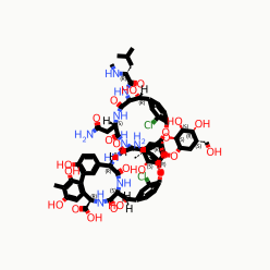 CN[C@H](CC(C)C)C(=O)NC1C(=O)N[C@@H](CC(N)=O)C(=O)N[C@H]2C(=O)N[C@H]3C(=O)N[C@H](C(=O)N[C@@H](C(=O)O)c4cc(O)c(C)c(O)c4-c4cc3ccc4O)[C@H](O)c3ccc(c(Cl)c3)Oc3cc2cc(c3OC2C[C@@H](CO)[C@@H](O)[C@H](O)[C@@H]2O[C@@H]2C[C@](C)(N)[C@H](O)[C@@H](C)O2)Oc2ccc(cc2Cl)[C@H]1O